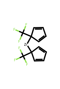 FC(F)(F)[C]1([Zr][C]2(C(F)(F)F)C=CC=C2)C=CC=C1